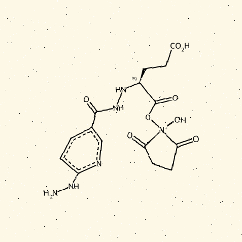 NNc1ccc(C(=O)NN[C@@H](CCC(=O)O)C(=O)O[N+]2(O)C(=O)CCC2=O)cn1